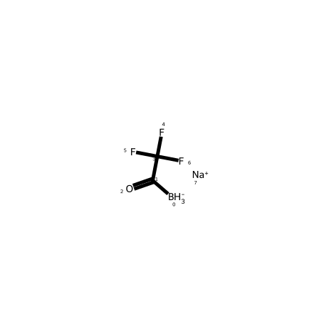 [BH3-]C(=O)C(F)(F)F.[Na+]